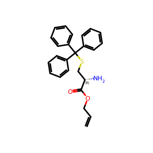 C=CCOC(=O)[C@@H](N)CSC(c1ccccc1)(c1ccccc1)c1ccccc1